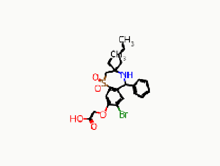 CCCCC1(CC)CS(=O)(=O)c2cc(OCC(=O)O)c(Br)cc2C(c2ccccc2)N1